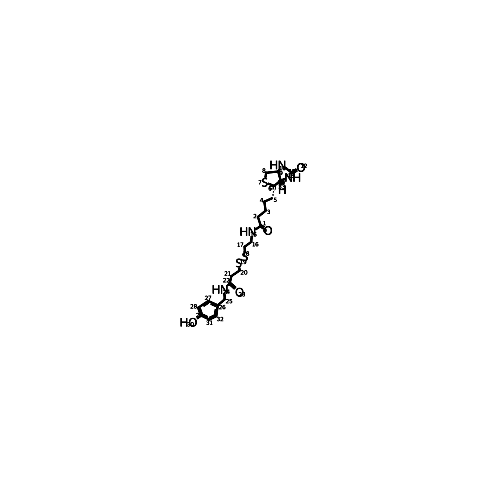 O=C(CCCC[C@@H]1SCC2NC(=O)N[C@@H]21)NCCSSCCC(=O)NCc1ccc(O)cc1